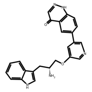 N[C@@H](COc1cncc(-c2ccc3[nH]ncc(=O)c3c2)c1)Cc1c[nH]c2ccccc12